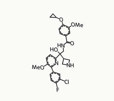 COc1cc(C(=O)NCC(O)(c2ccc(OC)c(-c3ccc(F)c(Cl)c3)n2)C2CNC2)ccc1OC1CC1